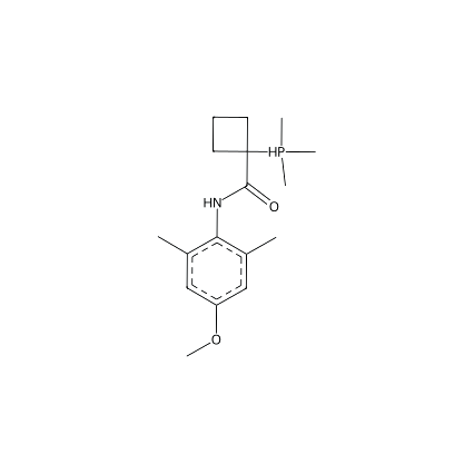 COc1cc(C)c(NC(=O)C2([PH](C)(C)C)CCC2)c(C)c1